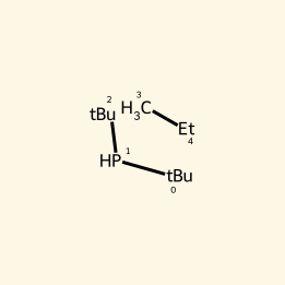 CC(C)(C)PC(C)(C)C.CCC